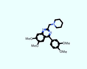 COc1ccc(-c2nc(CN3CCCCC3)nc3cc(OC)c(OC)cc23)cc1OC